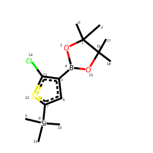 CC1(C)OB(c2cc([Si](C)(C)C)sc2Cl)OC1(C)C